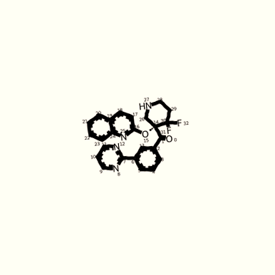 O=C(c1cccc(-c2ncccn2)c1)[C@@]1(Oc2ccc3ccccc3n2)CNCCC1(F)F